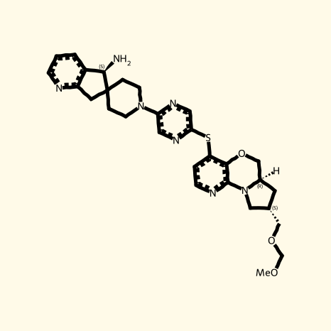 COCOC[C@H]1C[C@@H]2COc3c(Sc4cnc(N5CCC6(CC5)Cc5ncccc5[C@H]6N)cn4)ccnc3N2C1